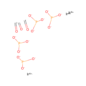 [C]=O.[C]=O.[C]=O.[Ir+4].[Ir+4].[Ir+4].[O-]P([O-])[O-].[O-]P([O-])[O-].[O-]P([O-])[O-].[O-]P([O-])[O-]